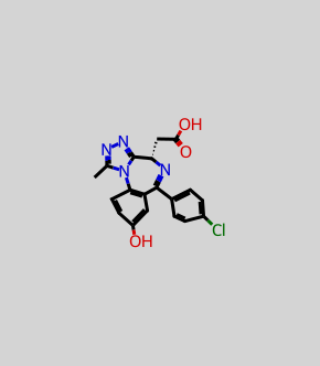 Cc1nnc2n1-c1ccc(O)cc1C(c1ccc(Cl)cc1)=N[C@H]2CC(=O)O